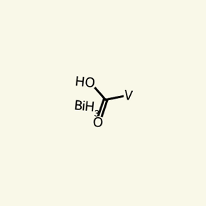 O=[C](O)[V].[BiH3]